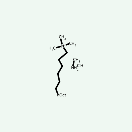 CCCCCCCCCCCCCC[N+](C)(C)C.CN.Cl